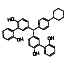 Oc1ccccc1-c1cc(C(c2ccc(C3CCCCC3)cc2)c2ccc(O)c(-c3ccccc3O)c2)ccc1O